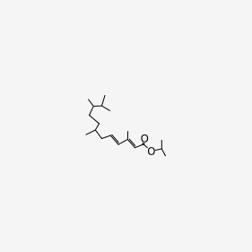 CC(/C=C/CC(C)CCC(C)C(C)C)=C\C(=O)OC(C)C